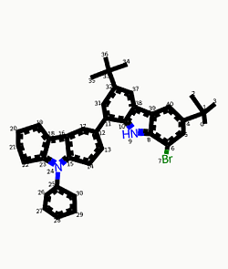 CC(C)(C)c1cc(Br)c2[nH]c3c(-c4ccc5c(c4)c4ccccc4n5-c4ccccc4)cc(C(C)(C)C)cc3c2c1